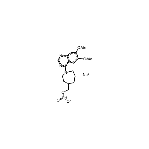 COc1cc2ncnc(N3CCCC(CO[PH](=O)[O-])CC3)c2cc1OC.[Na+]